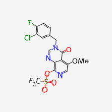 COc1cnc(OS(=O)(=O)C(F)(F)F)c2ncn(Cc3ccc(F)c(Cl)c3)c(=O)c12